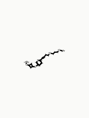 CC(C)OCCCOCCC#Cc1ccc(OC2CC(OC(C)(C)C)C2)cn1